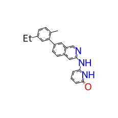 CCc1ccc(C)c(-c2ccc3cc(Nc4cccc(=O)[nH]4)ncc3c2)c1